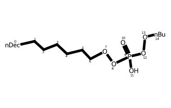 CCCCCCCCCCCCCCCCOOP(=O)(O)OOCCCC